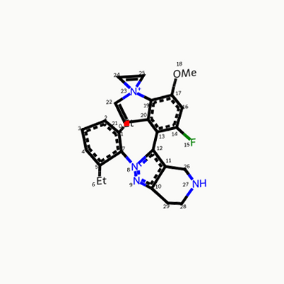 CCc1cccc(CC)c1-n1nc2c(c1-c1c(F)cc(OC)c3c1C=C[N+]31C=C1)CNCC2